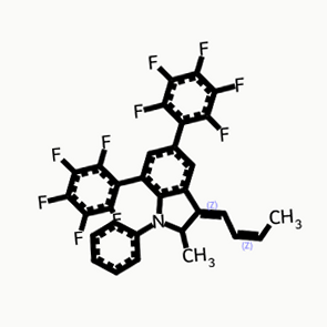 C/C=C\C=C1\c2cc(-c3c(F)c(F)c(F)c(F)c3F)cc(-c3c(F)c(F)c(F)c(F)c3F)c2N(c2ccccc2)C1C